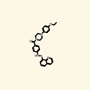 CCOc1ccc(N2CCN(C(=O)c3ccc(NSc4cccc5cccnc45)cc3)CC2)cc1